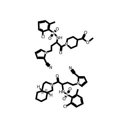 COC(=O)C1CCN(C(=O)C(CCn2cccc2C#N)NS(=O)(=O)c2c(C)cccc2Cl)CC1.Cc1cccc(Cl)c1S(=O)(=O)NC(CCn1cccc1C#N)C(=O)N1CC[C@H]2CCCC[C@H]2C1